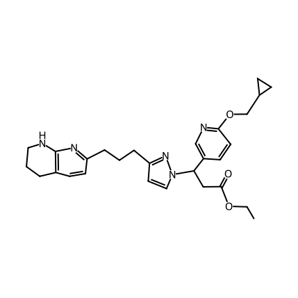 CCOC(=O)CC(c1ccc(OCC2CC2)nc1)n1ccc(CCCc2ccc3c(n2)NCCC3)n1